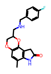 Cc1cc2c(c3c1NC(=O)C3)OC(CNCc1ccc(F)cc1)CO2